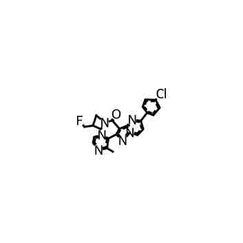 Cc1nccnc1-c1nn2ccc(-c3ccc(Cl)cc3)nc2c1C(=O)N1CC(CF)C1